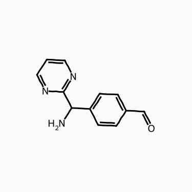 NC(c1ccc(C=O)cc1)c1ncccn1